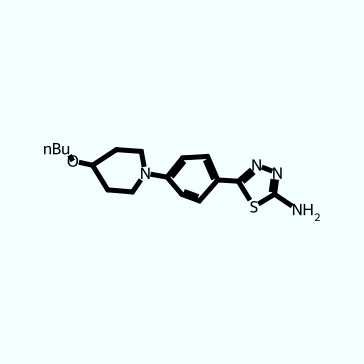 CCCCOC1CCN(c2ccc(-c3nnc(N)s3)cc2)CC1